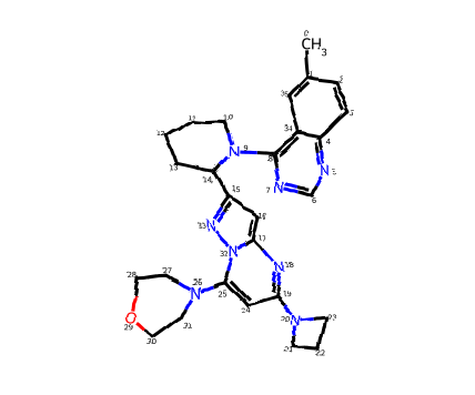 Cc1ccc2ncnc(N3CCCCC3c3cc4nc(N5CCC5)cc(N5CCOCC5)n4n3)c2c1